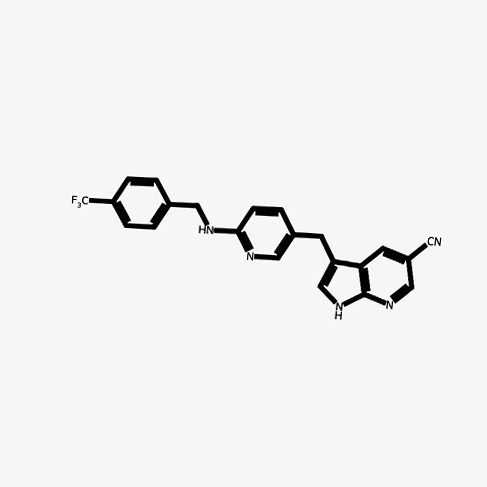 N#Cc1cnc2[nH]cc(Cc3ccc(NCc4ccc(C(F)(F)F)cc4)nc3)c2c1